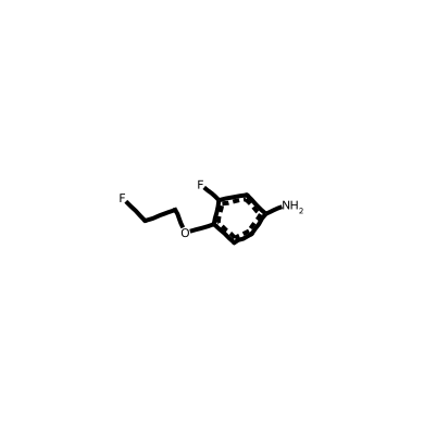 Nc1ccc(OCCF)c(F)c1